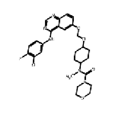 CN(C(=O)N1CCOCC1)C1CCC(OCOc2ccc3ncnc(Nc4ccc(F)c(Cl)c4)c3c2)CC1